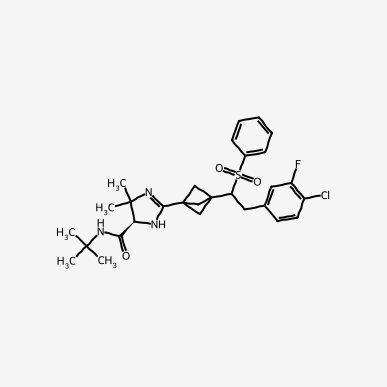 CC(C)(C)NC(=O)[C@@H]1NC(C23CC(C(Cc4ccc(Cl)c(F)c4)S(=O)(=O)c4ccccc4)(C2)C3)=NC1(C)C